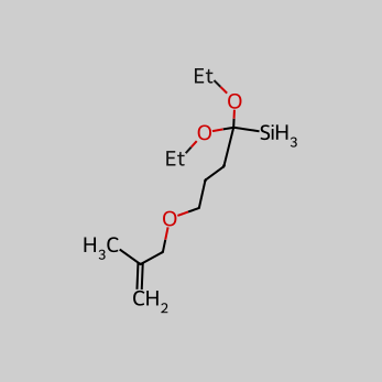 C=C(C)COCCCC([SiH3])(OCC)OCC